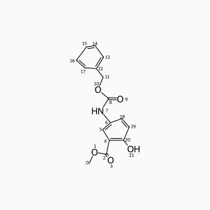 COC(=O)c1cc(NC(=O)OCc2ccccc2)ccc1O